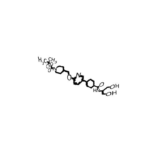 CC(C)(C)OC(=O)N1CCC(COc2ccc(C3=CCC(C(=O)NC(CO)CO)CC3)cn2)CC1